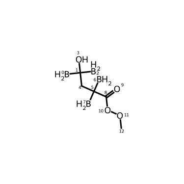 BC(B)(O)CC(B)(B)C(=O)OOC